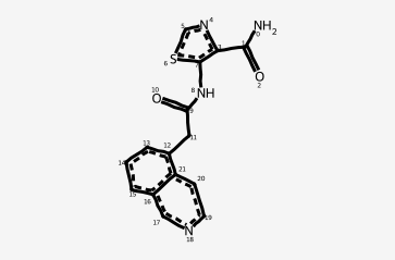 NC(=O)c1ncsc1NC(=O)Cc1cccc2cnccc12